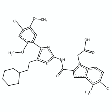 COc1cc(-c2nc(NC(=O)c3cc4c(C)c(Cl)ccc4n3CC(=O)O)sc2CCC2CCCCC2)c(OC)cc1Cl